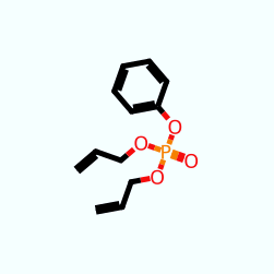 C=CCOP(=O)(OCC=C)Oc1ccccc1